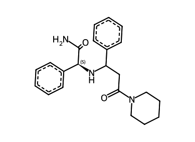 NC(=O)[C@@H](NC(CC(=O)N1CCCCC1)c1ccccc1)c1ccccc1